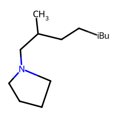 CCC(C)CCC(C)CN1CCCC1